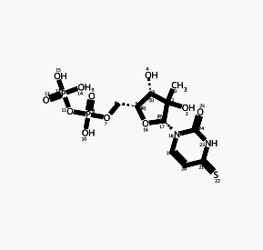 CC1(O)[C@@H](O)[C@@H](COP(=O)(O)OP(=O)(O)O)O[C@H]1n1ccc(=S)[nH]c1=O